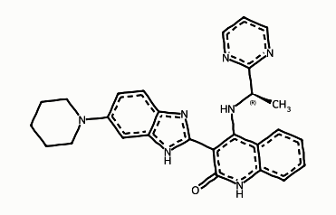 C[C@@H](Nc1c(-c2nc3ccc(N4CCCCC4)cc3[nH]2)c(=O)[nH]c2ccccc12)c1ncccn1